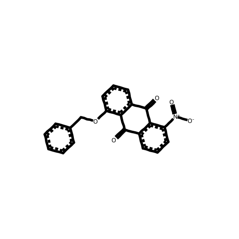 O=C1c2cccc([N+](=O)[O-])c2C(=O)c2cccc(OCc3ccccc3)c21